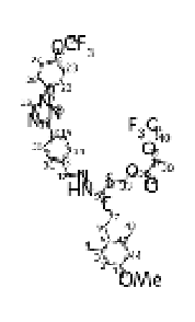 COc1cc(C)c(CC=C=C(N/N=C/c2ccc(-c3ncn(-c4ccc(OC(F)(F)F)cc4)n3)cc2)SCOC(=O)C(C)OCC(F)(F)F)c(C)c1